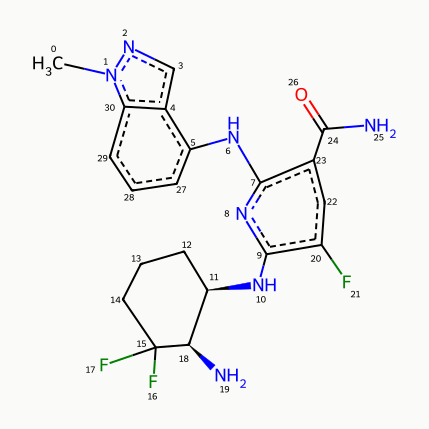 Cn1ncc2c(Nc3nc(N[C@@H]4CCCC(F)(F)[C@@H]4N)c(F)cc3C(N)=O)cccc21